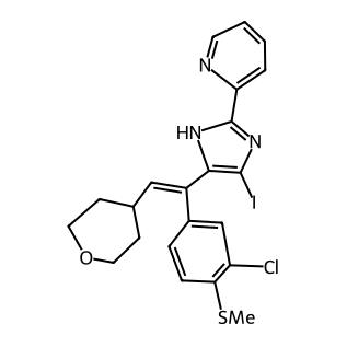 CSc1ccc(/C(=C\C2CCOCC2)c2[nH]c(-c3ccccn3)nc2I)cc1Cl